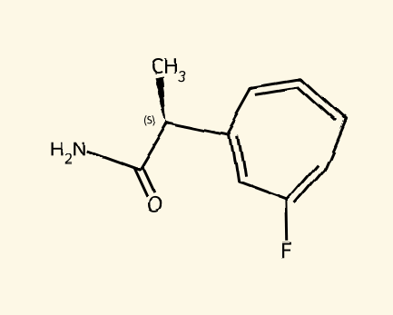 C[C@H](C(N)=O)C1=CC(F)=CC=C=C1